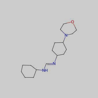 C(=NC1CCC(N2CCOCC2)CC1)NC1CCCCC1